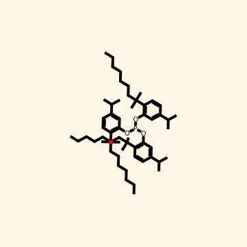 CCCCCCCC(C)(C)c1ccc(C(C)C)cc1OP(Oc1cc(C(C)C)ccc1C(C)(C)CCCCCCC)Oc1cc(C(C)C)ccc1C(C)(C)CCCCCCC